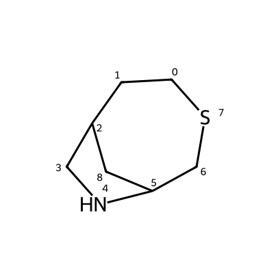 C1CC2CNC(CS1)C2